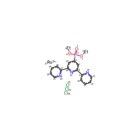 CCOP(=O)(OCC)c1cc(-c2ccccn2)nc(-c2ccccn2)c1.[Cl-].[Cl-].[Cl-].[Ru+3]